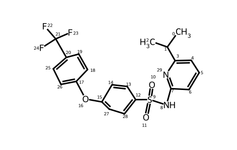 CC(C)c1cccc(NS(=O)(=O)c2ccc(Oc3ccc(C(F)(F)F)cc3)cc2)n1